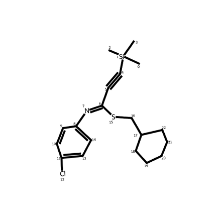 C[Si](C)(C)C#CC(=Nc1ccc(Cl)cc1)SCC1CCCCC1